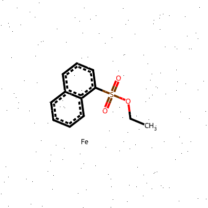 CCOS(=O)(=O)c1cccc2ccccc12.[Fe]